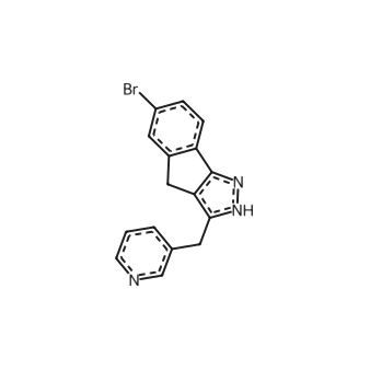 Brc1ccc2c(c1)Cc1c-2n[nH]c1Cc1cccnc1